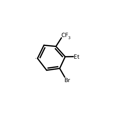 CCc1c(Br)c[c]cc1C(F)(F)F